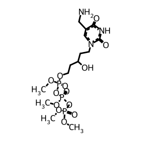 COP(=O)(OC)OP(=O)(OC)OP(=O)(OC)OCCC(O)CCn1cc(CN)c(=O)[nH]c1=O